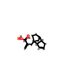 C=C(CC12CCC(C1)C1CC=CC12)C(=O)O